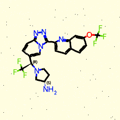 N[C@H]1CCN([C@H](c2ccc3nnc(-c4ccc5ccc(OC(F)(F)F)cc5n4)n3c2)C(F)(F)F)C1